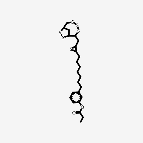 CCC(=O)Oc1cccc(CCCCCCCC2SC2CC2SSSCC3CC2SS3)c1